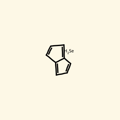 C1=CC2=CC=CC2=C1.[SeH2]